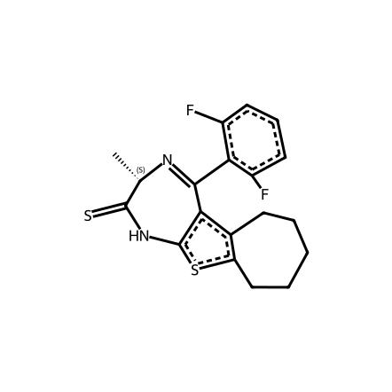 C[C@@H]1N=C(c2c(F)cccc2F)c2c(sc3c2CCCCC3)NC1=S